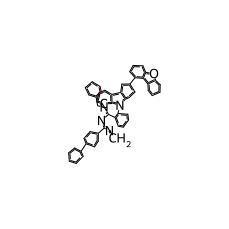 C=N/C(=N\C(=N/Cc1ccccc1)c1ccccc1-n1c2ccccc2c2cc(-c3cccc4oc5ccccc5c34)ccc21)c1ccc(-c2ccccc2)cc1